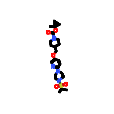 CC(C)S(=O)(=O)N1CCN(c2ccc(OCC3CCN(C(=O)OC4(C)CC4)CC3)cn2)CC1